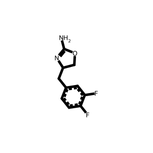 NC1=NC(Cc2ccc(F)c(F)c2)CO1